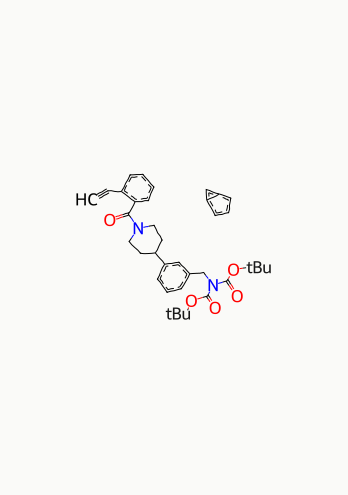 C#Cc1ccccc1C(=O)N1CCC(c2cccc(CN(C(=O)OC(C)(C)C)C(=O)OC(C)(C)C)c2)CC1.c1cc2cc-2c1